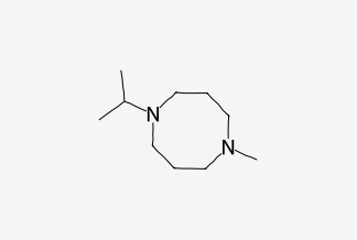 CC(C)N1CCCN(C)CCC1